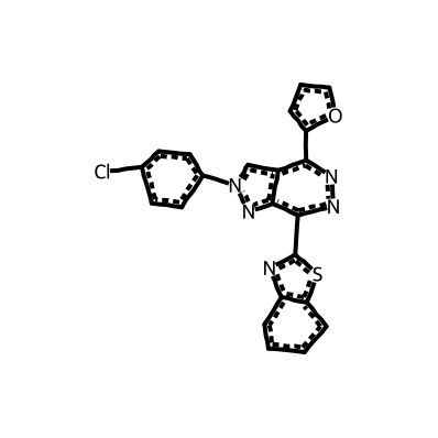 Clc1ccc(-n2cc3c(-c4ccco4)nnc(-c4nc5ccccc5s4)c3n2)cc1